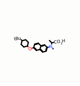 CC(C(=O)O)N(C)c1ccc2cc(OC3CCC(C(C)(C)C)CC3)ccc2c1